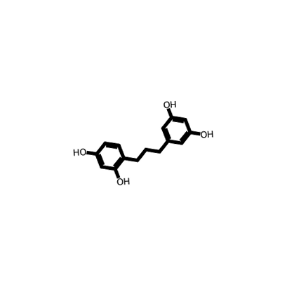 Oc1cc(O)cc(CCCc2ccc(O)cc2O)c1